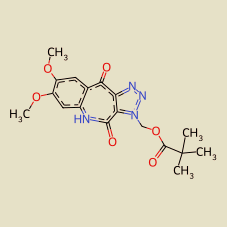 COc1cc2[nH]c(=O)c3c(nnn3COC(=O)C(C)(C)C)c(=O)c2cc1OC